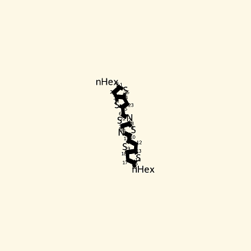 CCCCCCc1cc2sc(-c3nc4sc(-c5cc6sc(CCCCCC)cc6s5)nc4s3)cc2s1